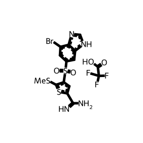 CSc1sc(C(=N)N)cc1S(=O)(=O)c1cc(Br)c2nc[nH]c2c1.O=C(O)C(F)(F)F